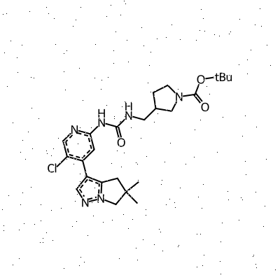 CC1(C)Cc2c(-c3cc(NC(=O)NCC4CCN(C(=O)OC(C)(C)C)C4)ncc3Cl)cnn2C1